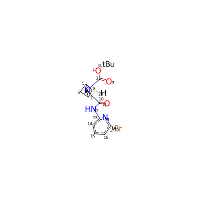 CC(C)(C)OC(=O)N1C2CC(C2)[C@H]1C(=O)Nc1cccc(Br)n1